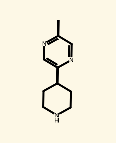 Cc1cnc(C2CCNCC2)cn1